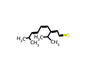 CC(C)/C=C/C=C\C(=C\C=S)C(C)C